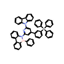 c1ccc(B2c3ccccc3-c3ccccc3N2c2cc(-c3cccc([Si](c4ccccc4)(c4ccccc4)c4ccccc4)c3)cc(-n3c4ccccc4c4ccccc43)n2)cc1